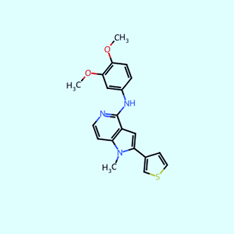 COc1ccc(Nc2nccc3c2cc(-c2ccsc2)n3C)cc1OC